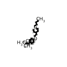 CCCCCN1CCC(CCOc2ccc(CC(C)(C)C)cc2)CC1